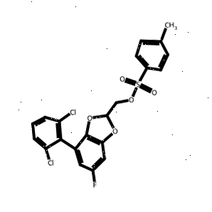 Cc1ccc(S(=O)(=O)OCC2Oc3cc(F)cc(-c4c(Cl)cccc4Cl)c3O2)cc1